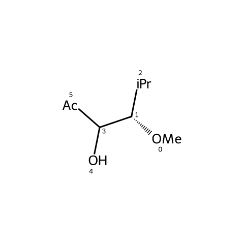 CO[C@@H](C(C)C)C(O)C(C)=O